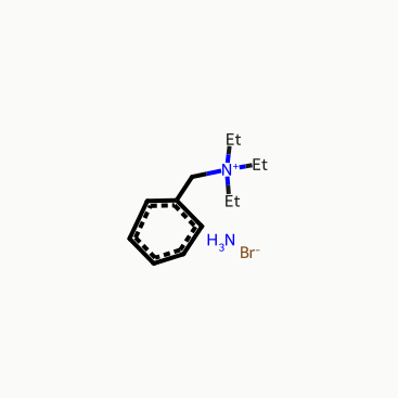 CC[N+](CC)(CC)Cc1ccccc1.N.[Br-]